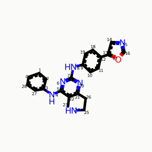 c1ccc(Nc2nc(Nc3ccc(-c4cnco4)cc3)nc3c2CNCC3)cc1